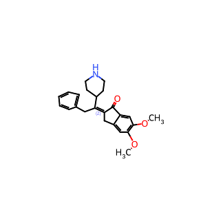 COc1cc2c(cc1OC)C(=O)/C(=C(/Cc1ccccc1)C1CCNCC1)C2